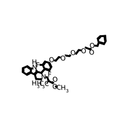 COC(=O)[C@@H](C)CN1C(c2c(F)cc(OCCOCCOCCOCC(=O)OCc3ccccc3)cc2F)c2[nH]c3ccccc3c2C[C@H]1C